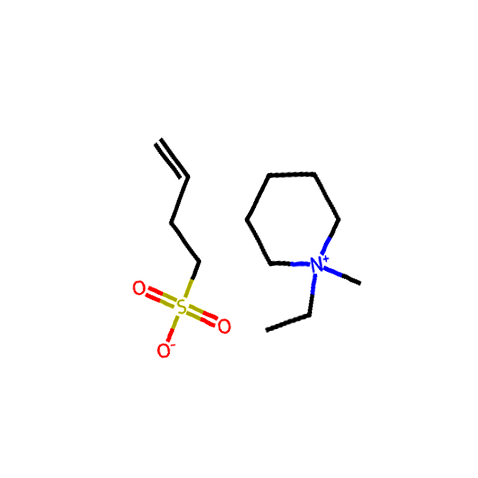 C=CCCS(=O)(=O)[O-].CC[N+]1(C)CCCCC1